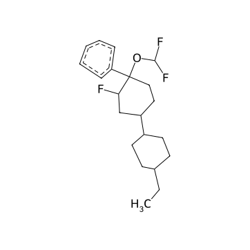 CCC1CCC(C2CCC(OC(F)F)(c3ccccc3)C(F)C2)CC1